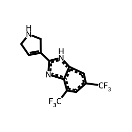 FC(F)(F)c1cc(C(F)(F)F)c2nc(C3=CCNC3)[nH]c2c1